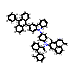 C=C/C=C\c1c(C)c(N(C(=C)c2ccccc2-c2ccccc2C)c2ccc(-n3c4ccccc4c4cc(C5C6=C(CCC=C6)C(c6ccccc6)=C6C=CC=CC65)ccc43)cc2)cc2ccccc12